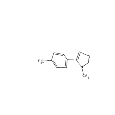 CN1CSC=C1c1ccc(C(F)(F)F)cc1